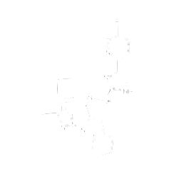 Cc1nnc(C2(C3CCCCO3)N[C@@H](c3nc(-c4ccc(F)c(C)n4)c[nH]3)Cc3c2[nH]c2ccccc32)o1